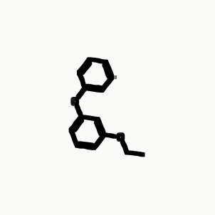 CCOc1cccc(Oc2c[c]ccc2)c1